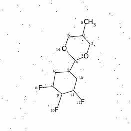 CC1COC(C2CC(F)C(F)C(F)C2)OC1